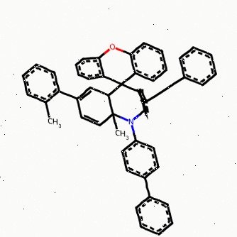 Cc1ccccc1C1=CC2C3(c4ccccc4Oc4ccccc43)c3cc(-c4ccccc4)ccc3N(c3ccc(-c4ccccc4)cc3)C2(C)C=C1